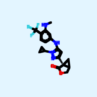 CNc1cc(Nc2cc([C@]34CC3COC4=O)nn2C2CC2)ccc1C(F)(F)F